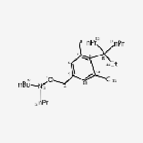 CCCCN(CCC)OCc1cc(C)c(C(CC)(CCC)CCC)c(Cl)c1